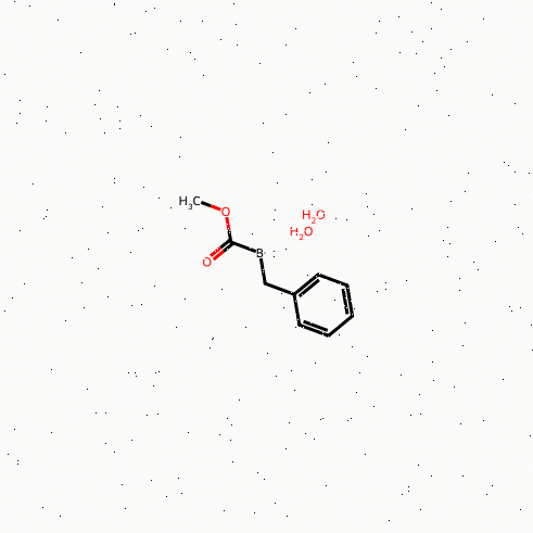 COC(=O)[B]Cc1ccccc1.O.O